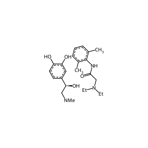 CCN(CC)CC(=O)Nc1c(C)cccc1C.CNC[C@H](O)c1ccc(O)c(O)c1